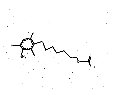 Nc1c(I)cc(I)c(CCCCCCCOC(=O)O)c1I